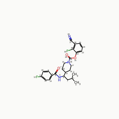 CC(C)CC(NC(=O)c1ccc(F)cc1)C1CCN(C(=O)Oc2cccc(C#N)c2F)CC1